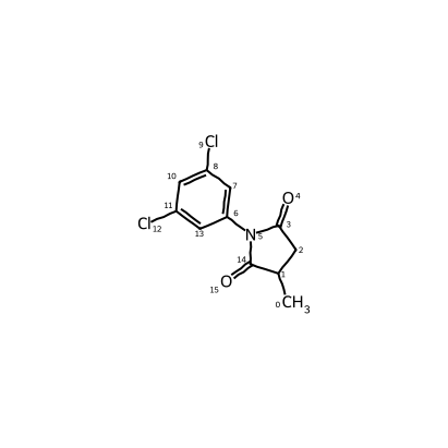 CC1CC(=O)N(c2cc(Cl)cc(Cl)c2)C1=O